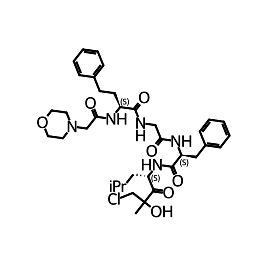 CC(C)C[C@H](NC(=O)[C@H](Cc1ccccc1)NC(=O)CNC(=O)[C@H](CCc1ccccc1)NC(=O)CN1CCOCC1)C(=O)C(C)(O)CCl